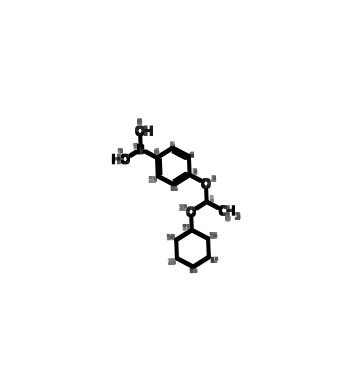 CC(Oc1ccc(B(O)O)cc1)OC1CCCCC1